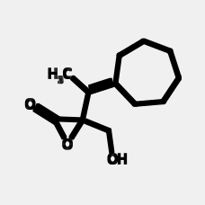 CC(=C1CCCCCC1)C1(CO)OC1=O